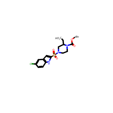 CC(C)(C)OC(=O)N1CCN(S(=O)(=O)c2cc3cc(Cl)ccc3[nH]2)CC1CC(=O)O